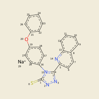 S=c1[n-]nc(-c2ccc3ccccc3n2)n1-c1ccc(Oc2ccccc2)cc1.[Na+]